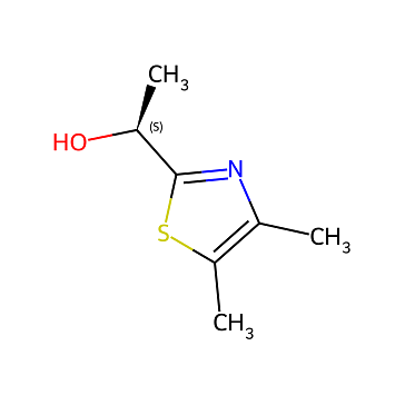 Cc1nc([C@H](C)O)sc1C